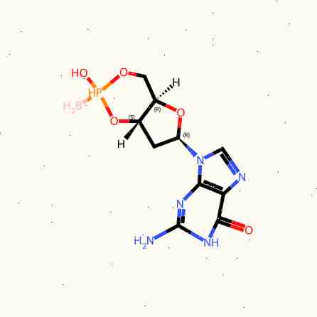 B[PH]1(O)OC[C@H]2O[C@@H](n3cnc4c(=O)[nH]c(N)nc43)C[C@@H]2O1